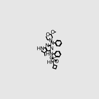 COC1CN(N(c2ccccc2)c2nc3c(c(Nc4ccccc4S(=O)(=O)NC4CCC4)n2)C(C)CN3)CCO1